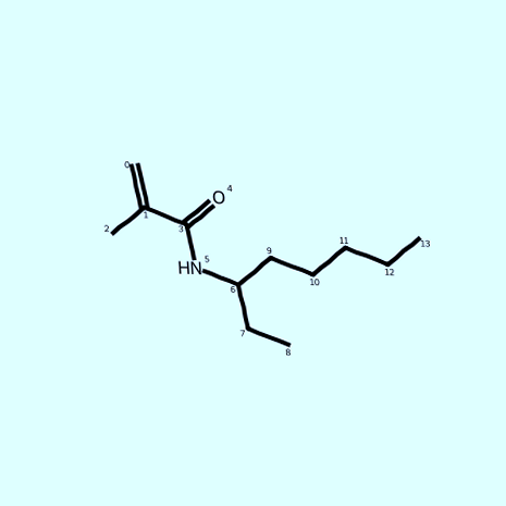 C=C(C)C(=O)NC(CC)CCCCC